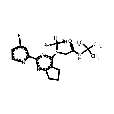 [2H]C([2H])([2H])N(CC(=O)NC(C)(C)C)c1nc(-c2cc(F)ccn2)nc2c1CCC2